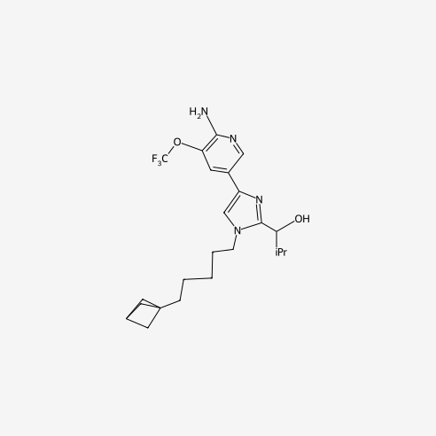 CC(C)C(O)c1nc(-c2cnc(N)c(OC(F)(F)F)c2)cn1CCCCCC12CC(C1)C2